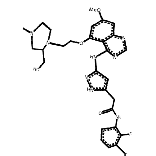 COc1cc(OCCN2CCN(C)CC2CO)c2c(Nc3cc(CC(=O)Nc4cccc(F)c4F)[nH]n3)ncnc2c1